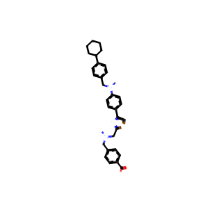 CN(Cc1ccc(C(=O)O)cc1)Cc1nc(-c2ccc(N(C)Cc3ccc(C4CCCCC4)cc3)cc2)cs1